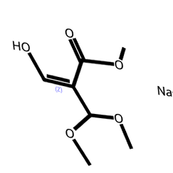 COC(=O)/C(=C\O)C(OC)OC.[Na]